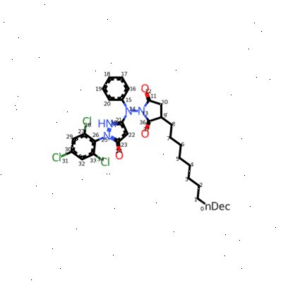 CCCCCCCCCCCCCCCCCCC1CC(=O)N(N(c2ccccc2)c2cc(=O)n(-c3c(Cl)cc(Cl)cc3Cl)[nH]2)C1=O